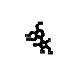 N#CCn1c(Cl)c(-c2ccc(CO)c(CO)c2CO)c(Cl)c1C#N